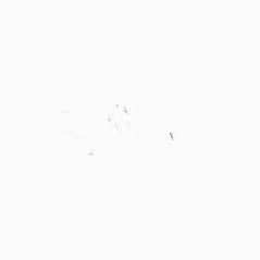 O=C(O)COc1noc(-c2cccs2)c1CBr